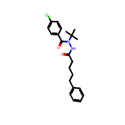 CC(C)(C)N(NC(=O)CCCCc1ccccc1)C(=O)c1ccc(Cl)cc1